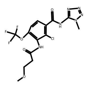 COCCC(=O)Nc1c(OC(F)(F)F)ccc(C(=O)Nc2nnnn2C)c1Cl